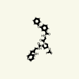 O=C(NCC(=O)N1C[C@H](OC(F)F)C[C@H]1C(=O)NCc1cc2cnccc2[nH]1)c1cccc(Oc2ccccc2)c1